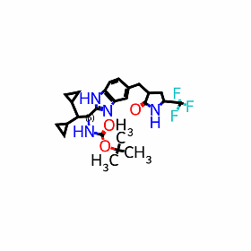 CC(C)(C)OC(=O)N[C@H](c1nc2cc(CC3CC(C(F)(F)F)NC3=O)ccc2[nH]1)C(C1CC1)C1CC1